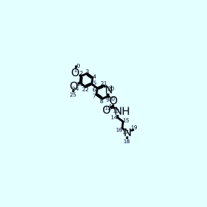 COc1ccc(-c2ccc(OC(=O)NCCCN(C)C)nc2)cc1OC